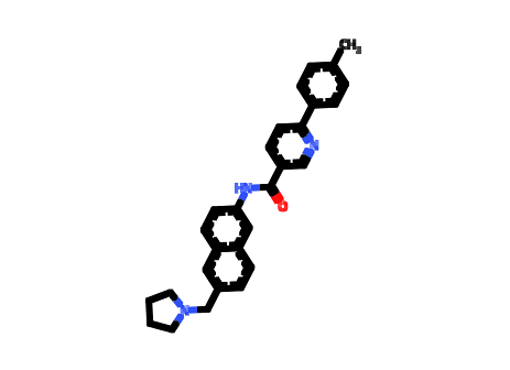 Cc1ccc(-c2ccc(C(=O)Nc3ccc4cc(CN5CCCC5)ccc4c3)cn2)cc1